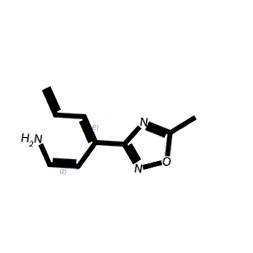 C=C/C=C(\C=C/N)c1noc(C)n1